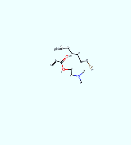 C=CC(=O)OCCN(C)C.CCCCCCCCCCCCCCBr